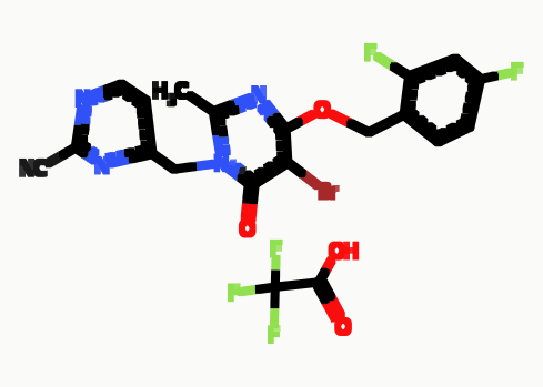 Cc1nc(OCc2ccc(F)cc2F)c(Br)c(=O)n1Cc1ccnc(C#N)n1.O=C(O)C(F)(F)F